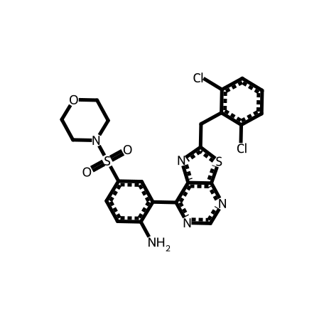 Nc1ccc(S(=O)(=O)N2CCOCC2)cc1-c1ncnc2sc(Cc3c(Cl)cccc3Cl)nc12